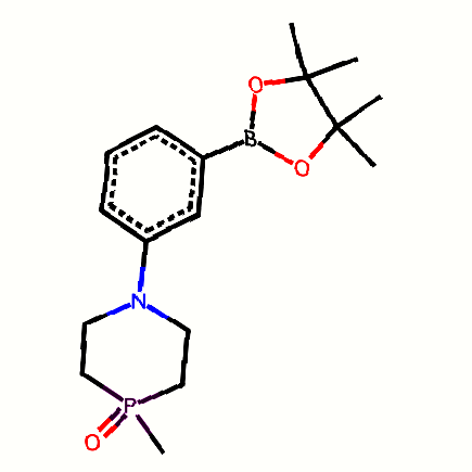 CC1(C)OB(c2cccc(N3CCP(C)(=O)CC3)c2)OC1(C)C